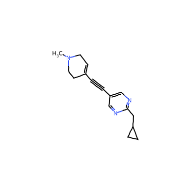 CN1CC=C(C#Cc2cnc(CC3CC3)nc2)CC1